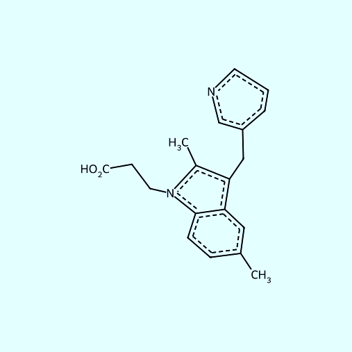 Cc1ccc2c(c1)c(Cc1cccnc1)c(C)n2CCC(=O)O